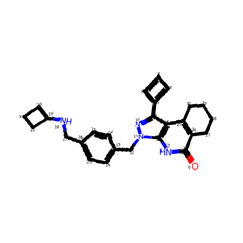 O=c1[nH]c2c(c(C3=CC=C3)nn2Cc2ccc(CNC3CCC3)cc2)c2c1CCCC2